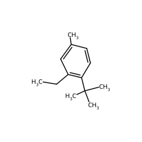 CCc1cc(C)ccc1C(C)(C)C